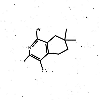 Cc1nc(C(C)C)c2c(c1C#N)CCC(C)(C)C2